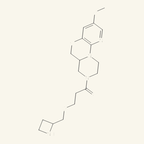 COc1cnc2c(c1)OCC1CN(C(=O)CCOCC3CCN3)CCN21